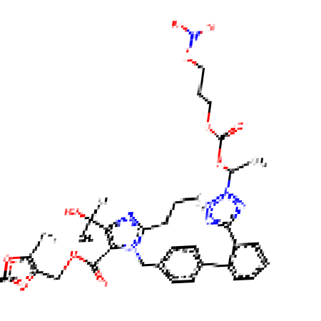 CCCc1nc(C(C)(C)O)c(C(=O)OCc2oc(=O)oc2C)n1Cc1ccc(-c2ccccc2-c2nnn(C(C)OC(=O)OCCCON(O)O)n2)cc1